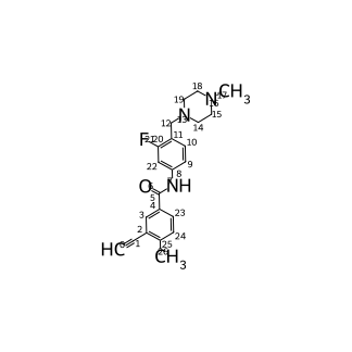 C#Cc1cc(C(=O)Nc2ccc(CN3CCN(C)CC3)c(F)c2)ccc1C